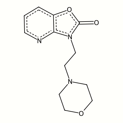 O=c1oc2cccnc2n1CCN1CCOCC1